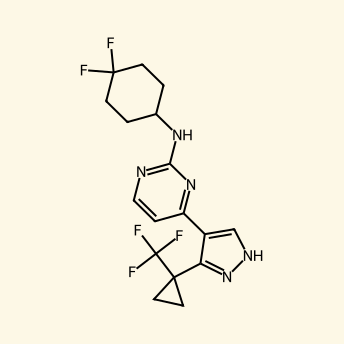 FC1(F)CCC(Nc2nccc(-c3c[nH]nc3C3(C(F)(F)F)CC3)n2)CC1